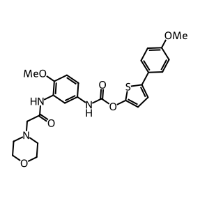 COc1ccc(-c2ccc(OC(=O)Nc3ccc(OC)c(NC(=O)CN4CCOCC4)c3)s2)cc1